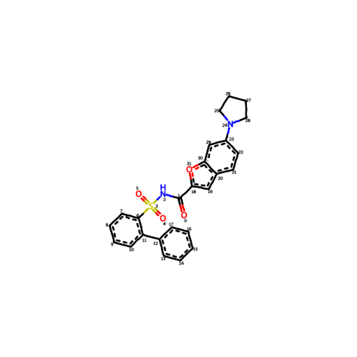 O=C(NS(=O)(=O)c1ccccc1-c1ccccc1)c1cc2ccc(N3CCCC3)cc2o1